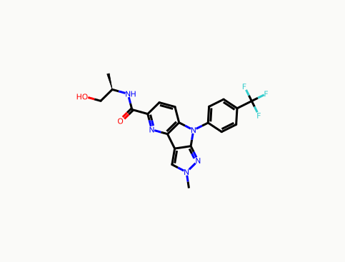 C[C@H](CO)NC(=O)c1ccc2c(n1)c1cn(C)nc1n2-c1ccc(C(F)(F)F)cc1